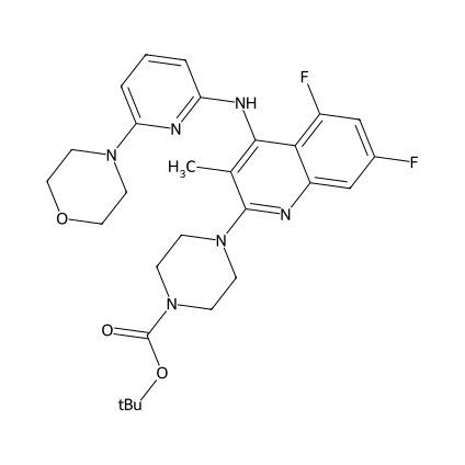 Cc1c(N2CCN(C(=O)OC(C)(C)C)CC2)nc2cc(F)cc(F)c2c1Nc1cccc(N2CCOCC2)n1